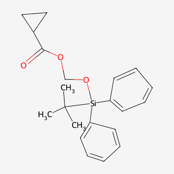 CC(C)(C)[Si](OCOC(=O)C1CC1)(c1ccccc1)c1ccccc1